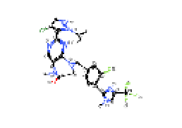 CC(C)n1ncc(Cl)c1-c1ncc2c(n1)N(Cc1ccc(-c3nc(C(F)(F)F)cn3C)c(F)c1)CC(=O)N2C